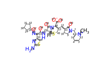 C[n+]1ccccc1CN1CCC(=CC2=C(C(=O)[O-])N3C(=O)[C@@H](NC(=O)/C(=N\OC4CCCC4)c4csc(N)n4)[C@H]3SC2)C1=O